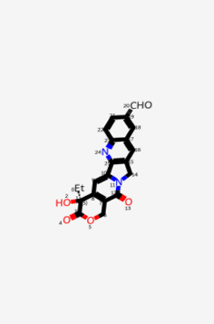 CC[C@@]1(O)C(=O)OCc2c1cc1n(c2=O)Cc2cc3cc(C=O)ccc3nc2-1